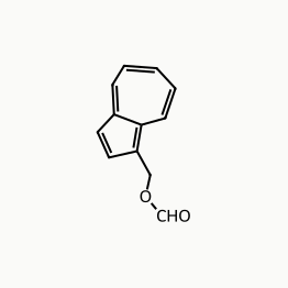 O=COCc1ccc2cccccc1-2